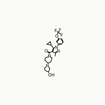 Cc1nn(-c2cccc(OC(F)(F)F)c2)c(C2CC2)c1C(=O)N1CCC(N2C[C@H](O)C[C@@H]2C)CC1